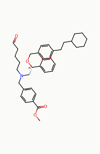 COC(=O)c1ccc(CN(CCCCC=O)C[C@H](OCc2ccc(CCC3CCCCC3)cc2)c2ccccc2)cc1